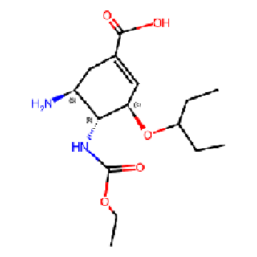 CCOC(=O)N[C@@H]1[C@@H](N)CC(C(=O)O)=C[C@H]1OC(CC)CC